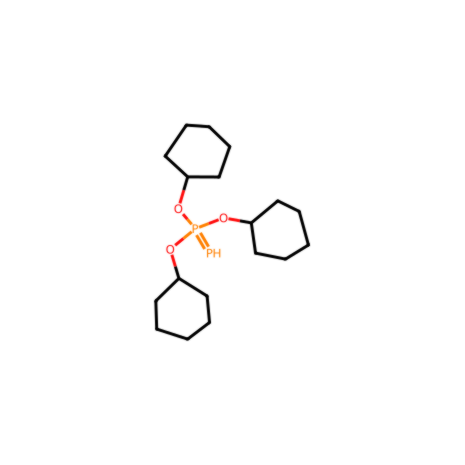 P=P(OC1CCCCC1)(OC1CCCCC1)OC1CCCCC1